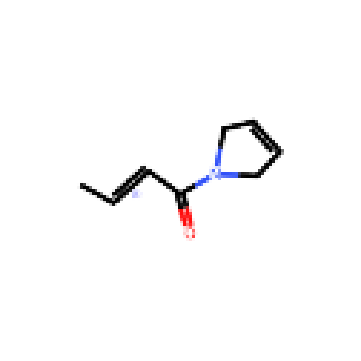 C/C=C/C(=O)N1CC=CC1